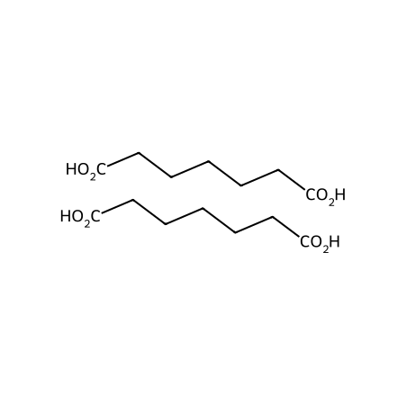 O=C(O)CCCCCC(=O)O.O=C(O)CCCCCC(=O)O